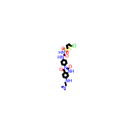 CN(C)CCNc1ccc2c(=O)n(-c3ccc(NC(=O)NS(=O)(=O)c4ccc(Cl)s4)cc3)c(=O)[nH]c2c1